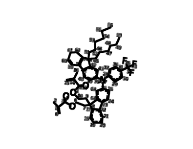 C=C(C)C(=O)OCCC1(CCOC(=O)C(=C)C)c2ccccc2-c2ccc(N(c3ccc(C(F)(F)F)cc3)c3ccc4c(c3)C(CCCCCC)(CCCCCC)C3=C4C=CCC3)cc21